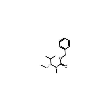 CC[C@H](C(C)C)N(C)C(=O)OCc1ccccc1